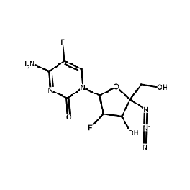 [N-]=[N+]=NC1(CO)OC(n2cc(F)c(N)nc2=O)C(F)C1O